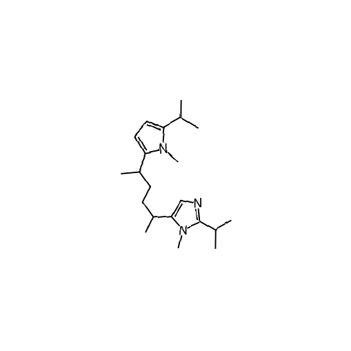 CC(C)c1ccc(C(C)CCC(C)c2cnc(C(C)C)n2C)n1C